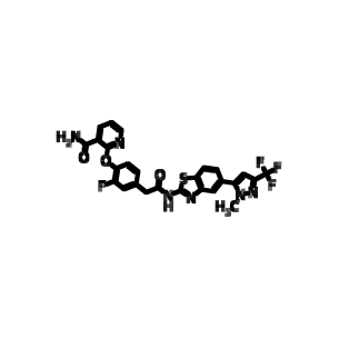 Cn1nc(C(F)(F)F)cc1-c1ccc2sc(NC(=O)Cc3ccc(Oc4ncccc4C(N)=O)c(F)c3)nc2c1